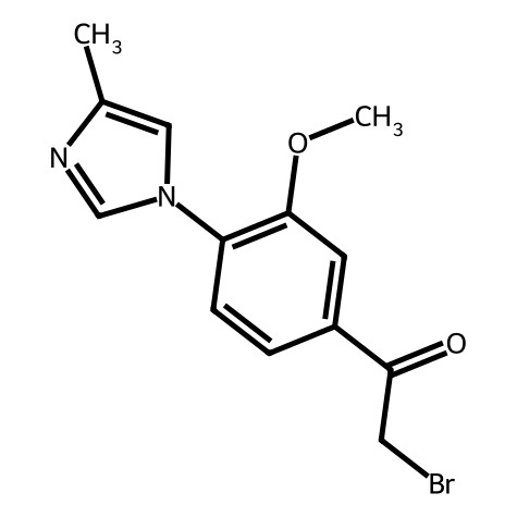 COc1cc(C(=O)CBr)ccc1-n1cnc(C)c1